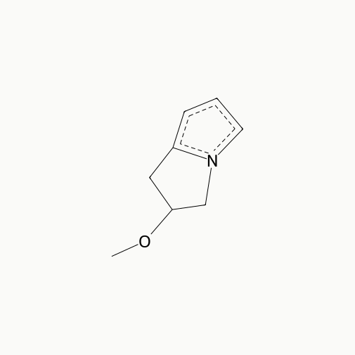 COC1Cc2cccn2C1